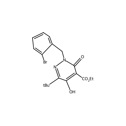 CCOC(=O)c1c(O)c(C(C)(C)C)nn(Cc2ccccc2Br)c1=O